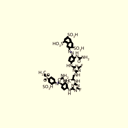 C=CS(=O)(=O)c1ccc(/N=N/c2ccc(Nc3nc(F)nc(NC(C)CNc4nc(F)nc(Nc5ccc(/N=N/c6cc7c(S(=O)(=O)O)cc(S(=O)(=O)O)cc7cc6S(=O)(=O)O)c(NC(N)=O)c5)n4)n3)cc2NC(N)=O)c(S(=O)(=O)O)c1